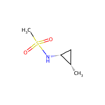 C[C@H]1C[C@H]1NS(C)(=O)=O